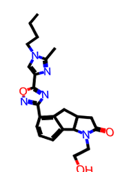 CCCCn1cc(-c2nc(-c3cccc4c3CC3CC(=O)N(CCO)C43)no2)nc1C